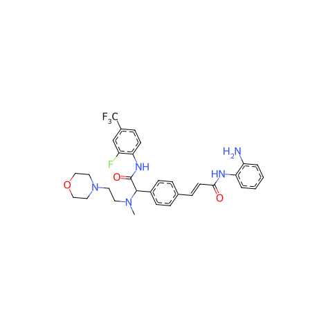 CN(CCN1CCOCC1)C(C(=O)Nc1ccc(C(F)(F)F)cc1F)c1ccc(/C=C/C(=O)Nc2ccccc2N)cc1